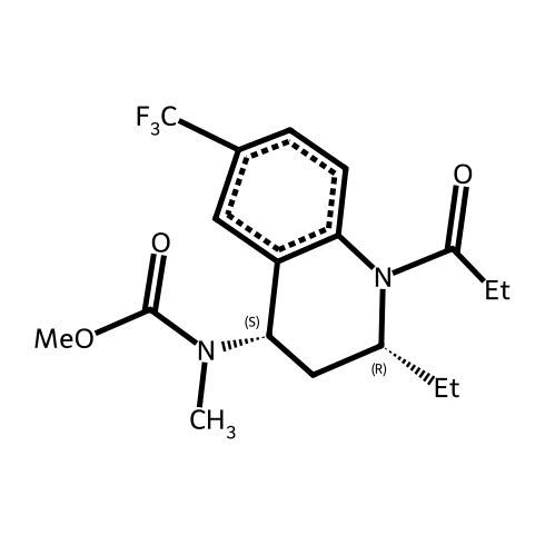 CCC(=O)N1c2ccc(C(F)(F)F)cc2[C@@H](N(C)C(=O)OC)C[C@H]1CC